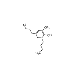 CCCCc1cc(CCCCl)cc(C)c1O